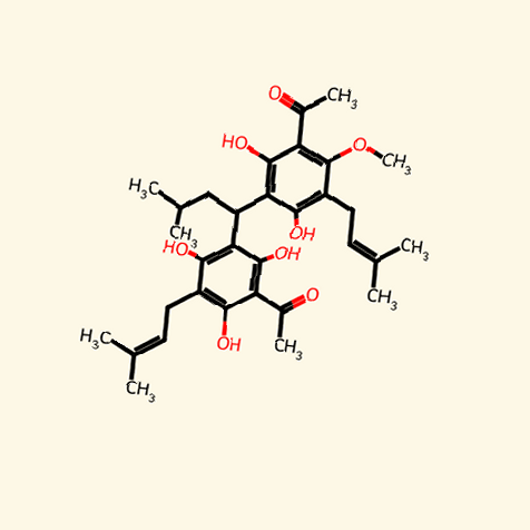 COc1c(CC=C(C)C)c(O)c(C(CC(C)C)c2c(O)c(CC=C(C)C)c(O)c(C(C)=O)c2O)c(O)c1C(C)=O